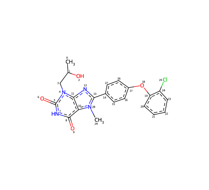 CC(O)Cn1c(=O)[nH]c(=O)c2c1nc(-c1ccc(Oc3ccccc3Cl)cc1)n2C